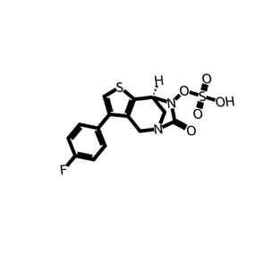 O=C1N2Cc3c(-c4ccc(F)cc4)csc3[C@H](C2)N1OS(=O)(=O)O